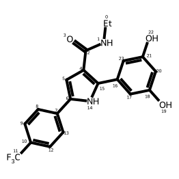 CCNC(=O)c1cc(-c2ccc(C(F)(F)F)cc2)[nH]c1-c1cc(O)cc(O)c1